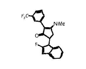 CNC1=C(c2cccc(C(F)(F)F)c2)C(=O)C(C2C(F)=Cc3ccccc32)C1